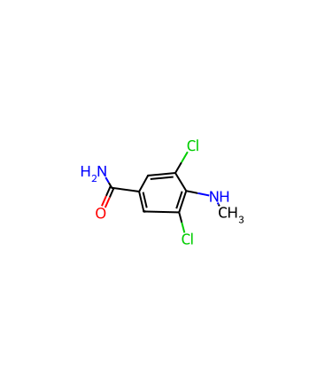 CNc1c(Cl)cc(C(N)=O)cc1Cl